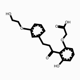 O=C(O)COc1cccc(O)c1C(=O)CCc1cccc(OCCO)c1